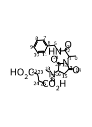 CC(C(=O)NCc1ccccc1)N1C(=O)CC(N(C)C)C1=O.O=C(O)CCC(=O)O